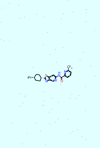 CC(C)[C@H]1CC[C@H](c2nc3cnc(NC(=O)c4cccc(C(F)(F)F)n4)cc3s2)CC1